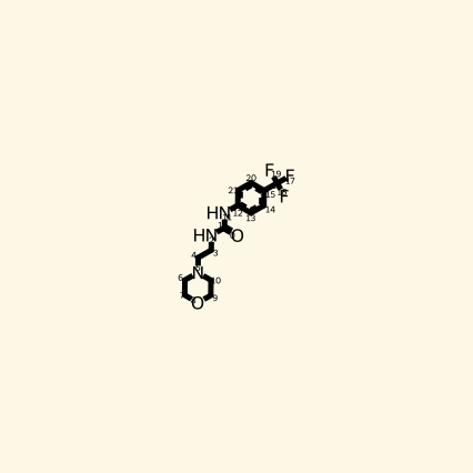 O=C(NCCN1CCOCC1)Nc1ccc(C(F)(F)F)cc1